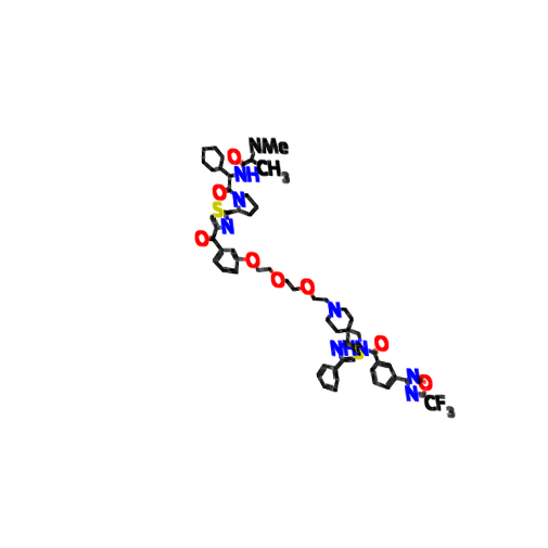 CNC(C)C(=O)NC(C(=O)N1CCC[C@H]1c1nc(C(=O)c2cccc(OCCOCCOCCN3CCC(CNC(=O)c4cccc(-c5noc(C(F)(F)F)n5)c4)(c4nc(-c5ccccc5)cs4)CC3)c2)cs1)C1CCCCC1